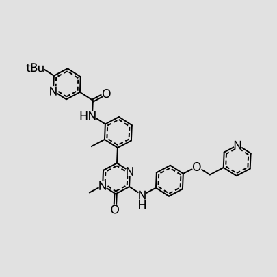 Cc1c(NC(=O)c2ccc(C(C)(C)C)nc2)cccc1-c1cn(C)c(=O)c(Nc2ccc(OCc3cccnc3)cc2)n1